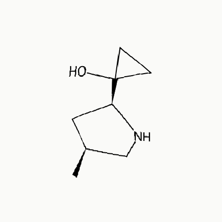 C[C@@H]1CN[C@H](C2(O)CC2)C1